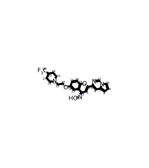 O/N=c1/cc(-c2cc3cccn3cn2)oc2ccc(OCCN3CCC(C(F)(F)F)CC3)cc12